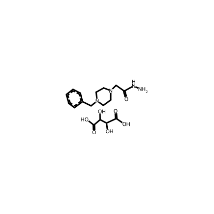 NNC(=O)CN1CCN(Cc2ccccc2)CC1.O=C(O)C(O)C(O)C(=O)O